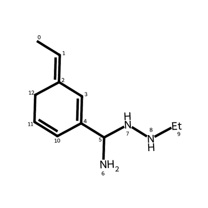 C/C=C1/C=C(C(N)NNCC)C=CC1